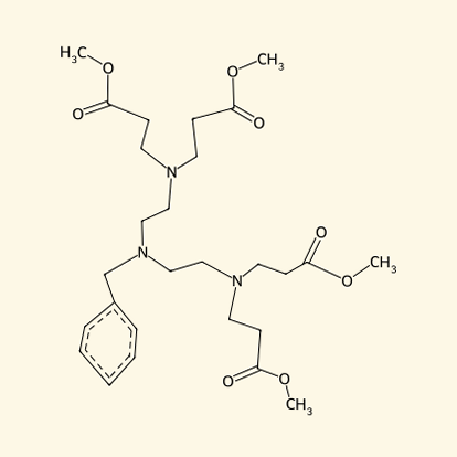 COC(=O)CCN(CCC(=O)OC)CCN(CCN(CCC(=O)OC)CCC(=O)OC)Cc1ccccc1